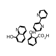 O=C(O)c1ccccc1O.Oc1cccc2cccnc12.c1ccc(-c2ccccn2)nc1